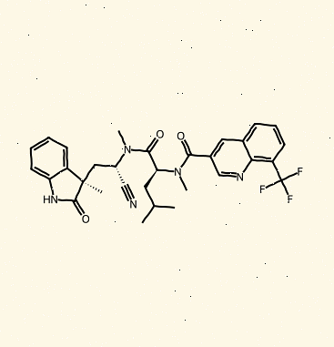 CC(C)C[C@@H](C(=O)N(C)[C@H](C#N)C[C@@]1(C)C(=O)Nc2ccccc21)N(C)C(=O)c1cnc2c(C(F)(F)F)cccc2c1